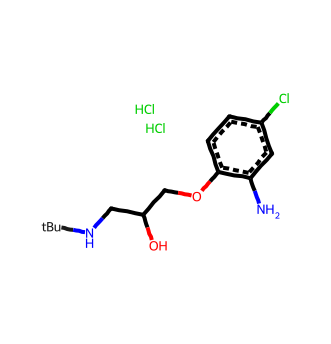 CC(C)(C)NCC(O)COc1ccc(Cl)cc1N.Cl.Cl